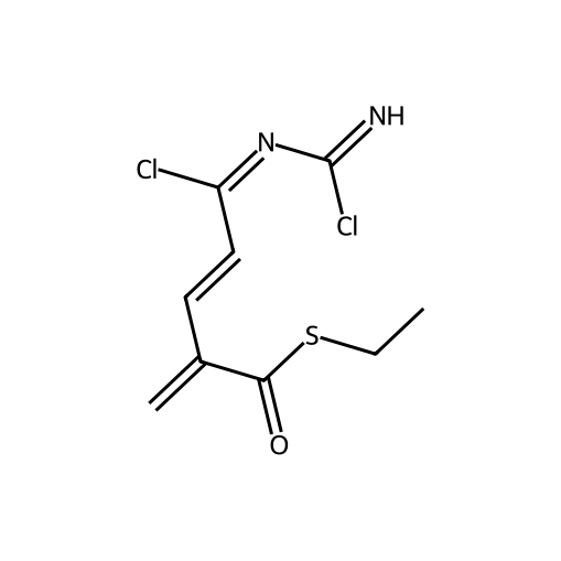 C=C(/C=C/C(Cl)=N\C(=N)Cl)C(=O)SCC